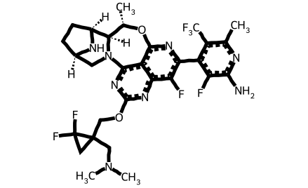 Cc1nc(N)c(F)c(-c2nc3c4c(nc(OCC5(CN(C)C)CC5(F)F)nc4c2F)N2C[C@H]4CC[C@H](N4)[C@H]2[C@H](C)O3)c1C(F)(F)F